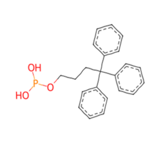 OP(O)OCCCC(c1ccccc1)(c1ccccc1)c1ccccc1